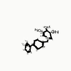 OC1[C@H](O)CN(CC2CCC(c3ccccc3)CC2)C[C@@H]1O